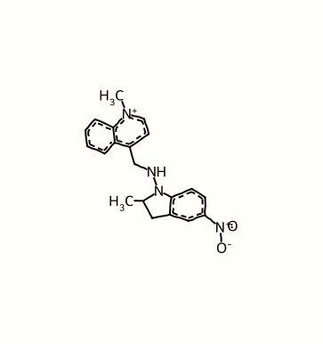 CC1Cc2cc([N+](=O)[O-])ccc2N1NCc1cc[n+](C)c2ccccc12